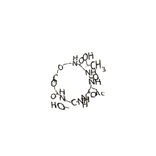 CC(=O)C[C@@H]1NC(=O)N[C@@H](C(C)O)C(=O)NCCOCCOCC(=O)N[C@@H](CO)CNNC1=O